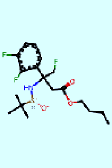 CCCCOC(=O)CC(CF)(N[S@+]([O-])C(C)(C)C)c1cccc(F)c1F